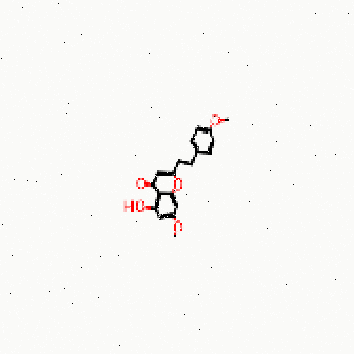 COc1ccc(CCc2cc(=O)c3c(O)cc(OC)cc3o2)cc1